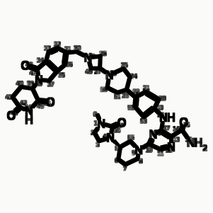 CN1CCN([C@@H]2CCCN(c3cnc(C(N)=O)c(Nc4ccc(C5CCN(C6CN(Cc7ccc8c(c7)CN(C7CCC(=O)NC7=O)C8=O)C6)CC5)cc4)n3)C2)C1=O